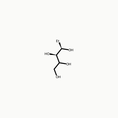 CC[C@@H](O)[C@H](O)C(O)CO